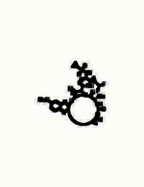 CC[C@@H]1[C@@H]2CN(C(=O)[C@H](C(C)(C)C)NC(=O)O[C@@H]3CC3CCCCCc3nc4ccc(OC)cc4nc3O2)[C@@H]1C(=O)N[C@]1(C(=O)NS(=O)(=O)C2CC2)C[C@H]1C(F)F